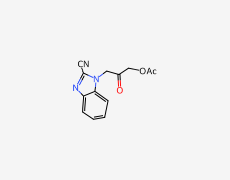 CC(=O)OCC(=O)Cn1c(C#N)nc2ccccc21